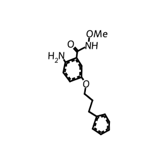 CONC(=O)c1cc(OCCCc2ccccc2)ccc1N